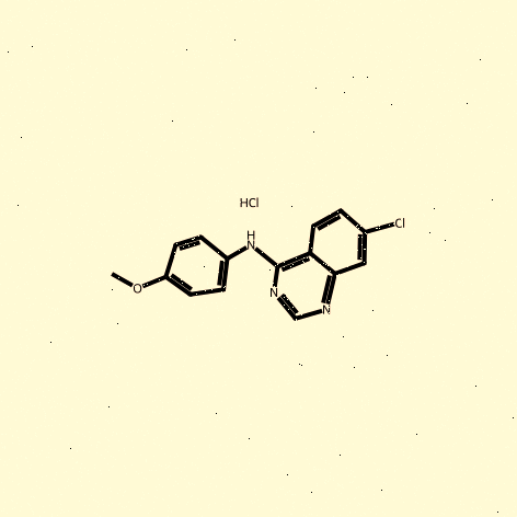 COc1ccc(Nc2ncnc3cc(Cl)ccc23)cc1.Cl